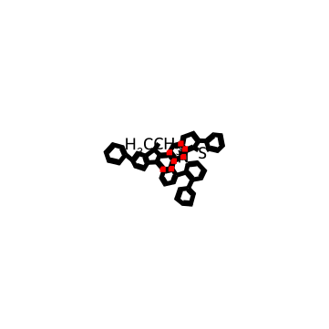 CC1(C)c2cc(-c3ccccc3)ccc2-c2ccc(N(c3cccc(-c4ccccc4)c3-c3ccccc3-c3ccccc3)c3cccc4c3sc3ccccc34)cc21